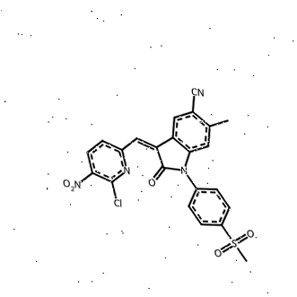 Cc1cc2c(cc1C#N)C(=Cc1ccc([N+](=O)[O-])c(Cl)n1)C(=O)N2c1ccc(S(C)(=O)=O)cc1